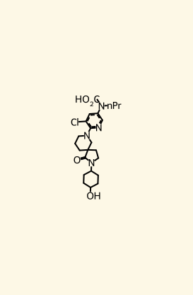 CCCN(C(=O)O)c1cnc(N2CCCC3(CCN(C4CCC(O)CC4)C3=O)C2)c(Cl)c1